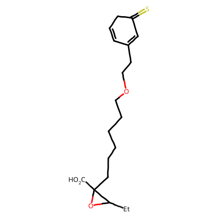 CCC1OC1(CCCCCCOCCC1=CC(=S)CC=C1)C(=O)O